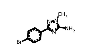 Cn1nc(-c2ccc(Br)cc2)nc1N